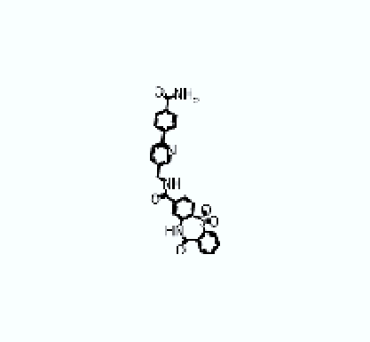 NC(=O)c1ccc(-c2ccc(CNC(=O)c3ccc4c(c3)NC(=O)c3ccccc3S4(=O)=O)cn2)cc1